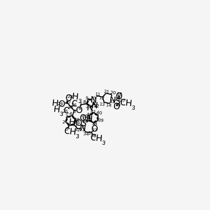 Cc1ccc(C(OCc2cn(CC3CCN(S(C)(=O)=O)CC3)nn2)C(C)(C)C(=O)O)cc1CN1CC(C)Oc2ccccc2S1(O)O